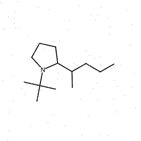 CCCC(C)C1CCCN1C(C)(C)C